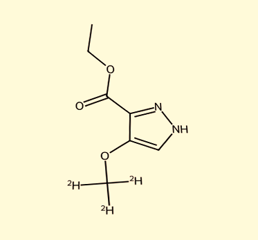 [2H]C([2H])([2H])Oc1c[nH]nc1C(=O)OCC